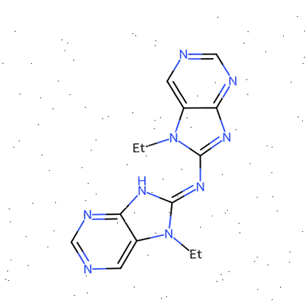 CCn1c(/N=c2\[nH]c3ncncc3n2CC)nc2ncncc21